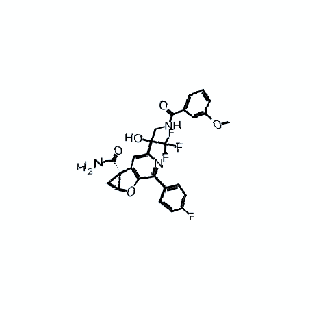 COc1cccc(C(=O)NCC(O)(c2cc3c(c(-c4ccc(F)cc4)n2)OC2C[C@@]32C(N)=O)C(F)(F)F)c1